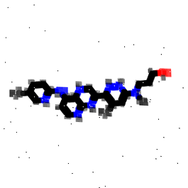 CCN(CCCO)c1cc(C(F)(F)F)c(-c2cnc3c(Nc4ccc(C(F)(F)F)cn4)ccnc3n2)nn1